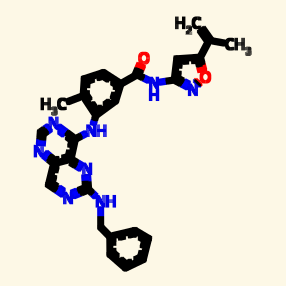 C=C(C)c1cc(NC(=O)c2ccc(C)c(Nc3ncnc4cnc(NCc5ccccc5)nc34)c2)no1